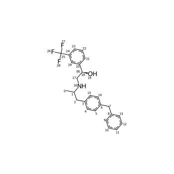 CC(Cc1ccc(Cc2ccccc2)cc1)NC[C@H](O)c1cccc(C(F)(F)F)c1